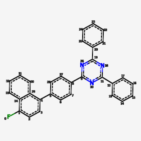 Fc1ccc(-c2ccc(-c3nc(-c4ccccc4)nc(-c4ccccc4)n3)cc2)c2ccccc12